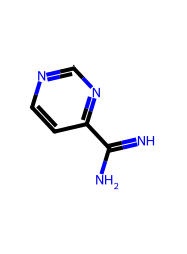 N=C(N)c1ccn[c]n1